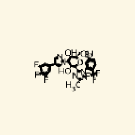 Cc1nc([C@@H]2O[C@H](CO)[C@H](O)[C@H](n3cc(-c4cc(F)c(F)c(F)c4)cn3)[C@H]2O)n(-c2cc(Br)ccc2C(F)(F)F)n1